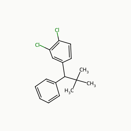 CC(C)(C)C(c1ccccc1)c1ccc(Cl)c(Cl)c1